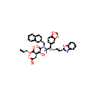 C=CCOC(=O)C(CC(=O)O)=C(O)C(=O)N(Cc1ccc2ccccc2c1)[C@H](C)[C@H](C/C=C/c1nc2ccccc2o1)c1ccc2c(c1)OCO2